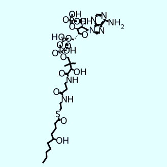 CCCCCC(O)CCCC(=O)SCCNC(=O)CCNC(=O)C(O)C(C)(C)COP(=O)(O)OP(=O)(O)OC[C@H]1O[C@@H](n2cnc3c(N)ncnc32)[C@H](O)[C@@H]1OP(=O)(O)O